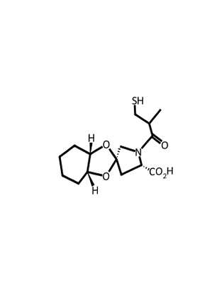 CC(CS)C(=O)N1C[C@@]2(C[C@H]1C(=O)O)O[C@H]1CCCC[C@H]1O2